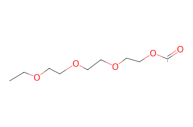 CCOCCOCCOCCO[C]=O